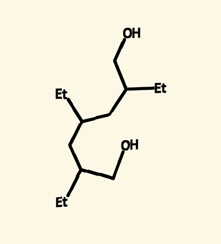 CCC(CO)CC(CC)CC(CC)CO